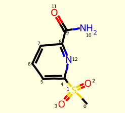 CS(=O)(=O)c1cccc(C(N)=O)n1